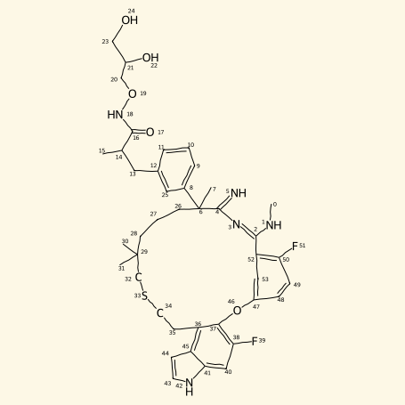 CN/C1=N\C(=N)C(C)(c2cccc(CC(C)C(=O)NOCC(O)CO)c2)CCCC(C)(C)CSCCc2c(c(F)cc3[nH]ccc23)Oc2ccc(F)c1c2